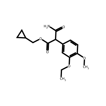 CCOc1cc(C(C(N)=O)C(=O)OCC2CC2)ccc1OC